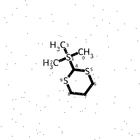 CS(C)(C)C1SCCCS1